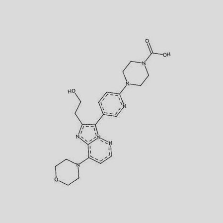 O=C(O)N1CCN(c2ccc(-c3c(CCO)nc4c(N5CCOCC5)ccnn34)cn2)CC1